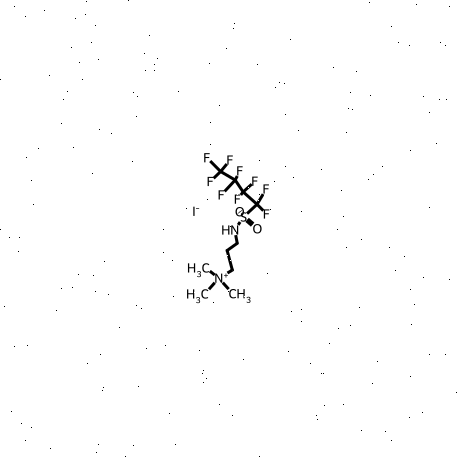 C[N+](C)(C)CCCNS(=O)(=O)C(F)(F)C(F)(F)C(F)(F)C(F)(F)F.[I-]